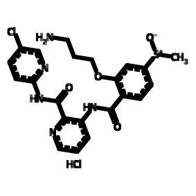 C[S+]([O-])c1ccc(C(=O)Nc2cccnc2C(=O)Nc2ccc(Cl)cn2)c(OCCCN)c1.Cl